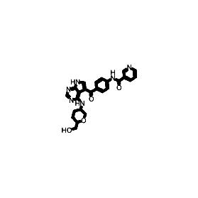 O=C(Nc1ccc(C(=O)c2c[nH]c3ncnc(NC4CCC(CO)OC4)c23)cc1)c1cccnc1